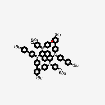 CCCCOc1ccc(N(c2ccc(Br)cc2)c2cc(N(c3ccc(-c4ccc(C(C)(C)C)cc4)cc3)c3ccc(-c4ccc(C(C)(C)C)cc4)cc3)c3ccc4c(N(c5ccc(Br)cc5)c5ccc(OCCCC)cc5)cc(N(c5ccc(-c6ccc(C(C)(C)C)cc6)cc5)c5ccc(-c6ccc(C(C)(C)C)cc6)cc5)c5ccc2c3c45)cc1